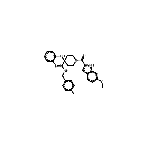 COc1ccc2cc(C(=O)N3CCC4(CC3)Nc3ccccc3N=C4NCc3ccc(F)cc3)[nH]c2c1